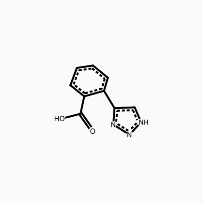 O=C(O)c1ccccc1-c1c[nH]nn1